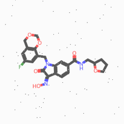 O=C(NCC1CCCO1)c1ccc2c(c1)N(Cc1cc(F)cc3c1OCOC3)C(=O)/C2=N\O